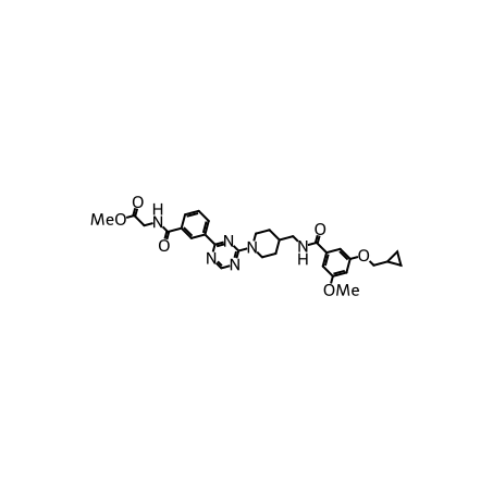 COC(=O)CNC(=O)c1cccc(-c2ncnc(N3CCC(CNC(=O)c4cc(OC)cc(OCC5CC5)c4)CC3)n2)c1